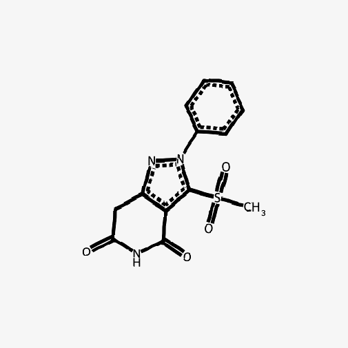 CS(=O)(=O)c1c2c(nn1-c1ccccc1)CC(=O)NC2=O